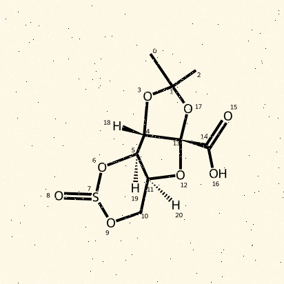 CC1(C)O[C@H]2[C@@H]3OS(=O)OC[C@@H]3O[C@@]2(C(=O)O)O1